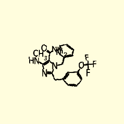 CNc1nc(Cc2cccc(OC(F)(F)F)c2)n(Cc2ccccn2)c1C(N)=O